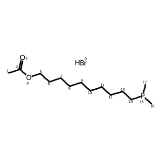 Br.CC(=O)OCCCCCCCCCCP(C)C